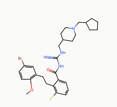 COc1ccc(Br)cc1CCc1c(F)cccc1C(=O)NC(=N)NCC1CCN(CC2CCCC2)CC1